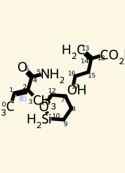 C/C=C(\C)C(N)=O.C1CC[SiH2]OC1.C=C(CCO)C(=O)O